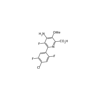 COc1c(C(=O)O)nc(-c2cc(F)c(Cl)cc2F)c(F)c1N